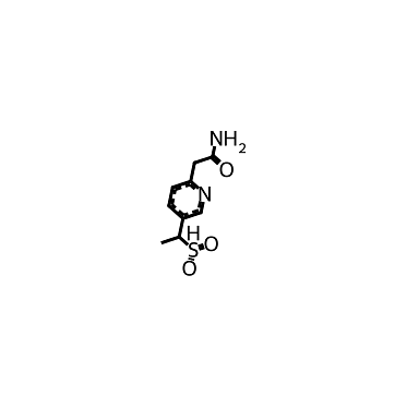 CC(c1ccc(CC(N)=O)nc1)[SH](=O)=O